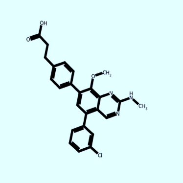 CNc1ncc2c(-c3cccc(Cl)c3)cc(-c3ccc(CCC(=O)O)cc3)c(OC)c2n1